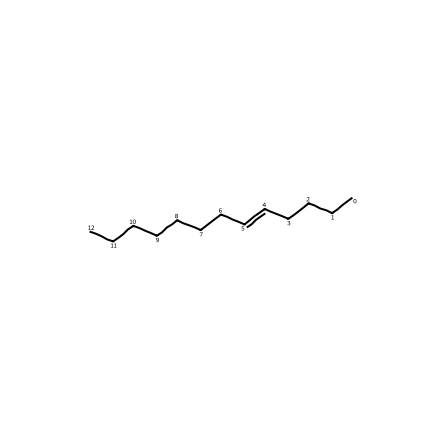 CCCCC=CCCCCCCC